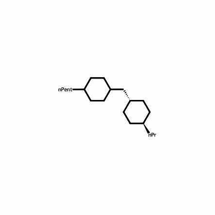 CCCCCC1CCC(C[C@H]2CC[C@H](CCC)CC2)CC1